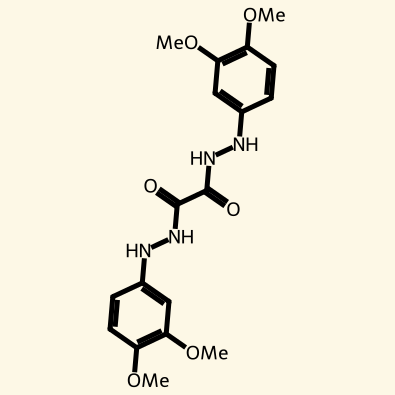 COc1ccc(NNC(=O)C(=O)NNc2ccc(OC)c(OC)c2)cc1OC